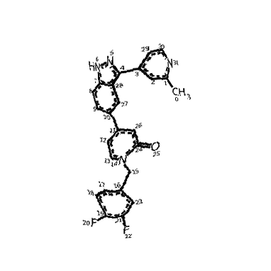 Cc1cc(-c2n[nH]c3ccc(-c4ccn(Cc5ccc(F)c(F)c5)c(=O)c4)cc23)ccn1